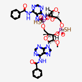 CO[C@H]1[C@H](n2cnc3c(NC(=O)c4ccccc4)ncnc32)O[C@]2(C)CO[P@@](=O)(S)O[C@H]3[C@H]4OC[C@]3(CO[P@](=O)(S)O[C@@H]12)OC4n1cnc2c(NC(=O)c3ccccc3)ncnc21